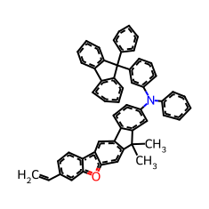 C=Cc1ccc2c(c1)oc1cc3c(cc12)-c1ccc(N(c2ccccc2)c2cccc(C4(c5ccccc5)c5ccccc5-c5ccccc54)c2)cc1C3(C)C